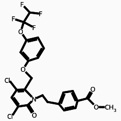 COC(=O)c1ccc(CCn2c(COc3cccc(OC(F)(F)C(F)F)c3)c(Cl)cc(Cl)c2=O)cc1